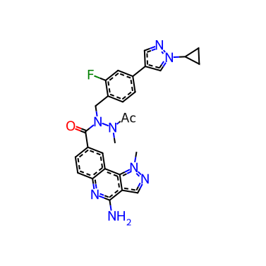 CC(=O)N(C)N(Cc1ccc(-c2cnn(C3CC3)c2)cc1F)C(=O)c1ccc2nc(N)c3cnn(C)c3c2c1